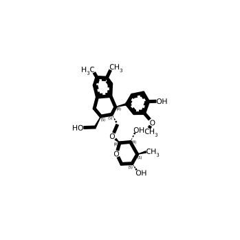 COc1cc([C@@H]2c3cc(C)c(C)cc3C[C@H](CO)[C@H]2CO[C@@H]2OC[C@@H](O)[C@H](C)[C@H]2O)ccc1O